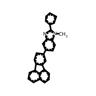 Cn1c(-c2ccccc2)nc2cc(-c3ccc4c(c3)-c3cccc5cccc-4c35)ccc21